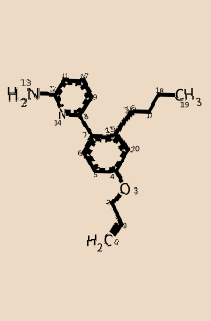 C=CCOc1ccc(-c2cccc(N)n2)c(CCCC)c1